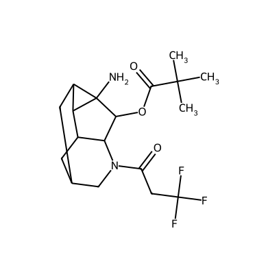 CC(C)(C)C(=O)OC1C2C3CC(CC4C3C41N)CN2C(=O)CC(F)(F)F